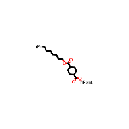 CCCCCOC(=O)C1CCC(C(=O)OCCCCCCCC(C)C)CC1